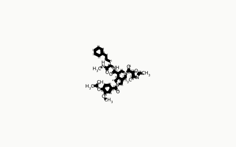 CNC(=O)[C@H](CCCc1ccccc1)NC(=O)C1CN(C(=O)c2oc(C)nc2C)CC2CN(C(=O)c3ccc(OC(C)C)c(OC)c3)CC21